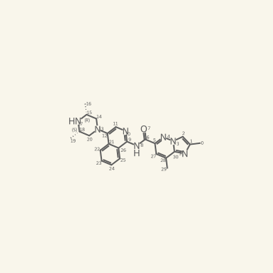 Cc1cn2nc(C(=O)Nc3ncc(N4C[C@@H](C)N[C@@H](C)C4)c4ccccc34)cc(C)c2n1